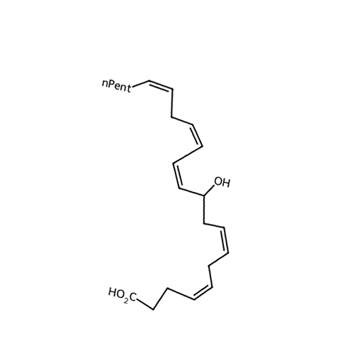 CCCCC/C=C\C/C=C\C=C/C(O)C/C=C\C/C=C\CCC(=O)O